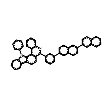 c1ccc(-n2c3ccccc3c3ccc4c(-c5cccc(-c6ccc7cc(-c8ccc9ccccc9c8)ccc7c6)c5)nc5ccccc5c4c32)cc1